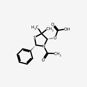 CC(=O)N1[C@@H](OC(=O)O)C(C)(C)S[C@H]1c1ccccc1